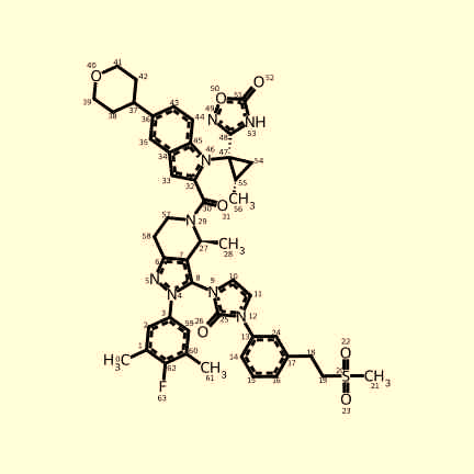 Cc1cc(-n2nc3c(c2-n2ccn(-c4cccc(CCS(C)(=O)=O)c4)c2=O)[C@H](C)N(C(=O)c2cc4cc(C5CCOCC5)ccc4n2[C@@]2(c4noc(=O)[nH]4)C[C@@H]2C)CC3)cc(C)c1F